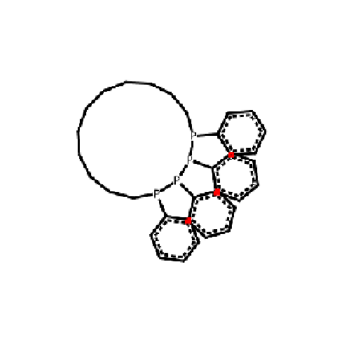 c1ccc(P2CCCCCCCCCCCP(c3ccccc3)P(c3ccccc3)P2c2ccccc2)cc1